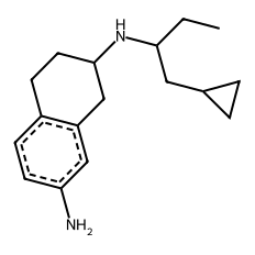 CCC(CC1CC1)NC1CCc2ccc(N)cc2C1